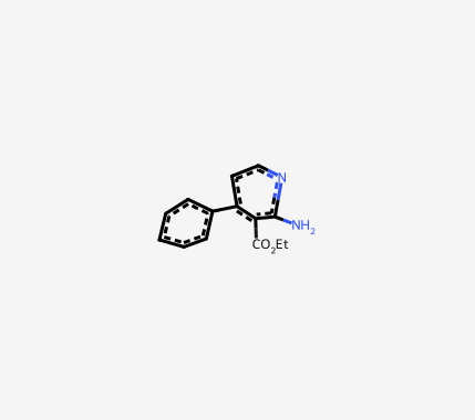 CCOC(=O)c1c(-c2ccccc2)ccnc1N